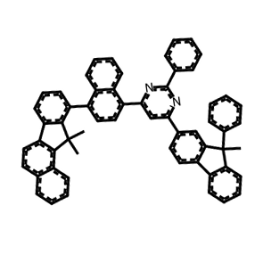 CC1(C)c2c(cccc2-c2ccc(-c3cc(-c4ccc5c(c4)C(C)(c4ccccc4)c4ccccc4-5)nc(-c4ccccc4)n3)c3ccccc23)-c2ccc3ccccc3c21